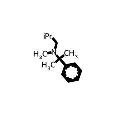 CC(C)CN(C)C(C)(C)c1ccccc1